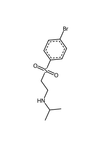 CC(C)NCCS(=O)(=O)c1ccc(Br)cc1